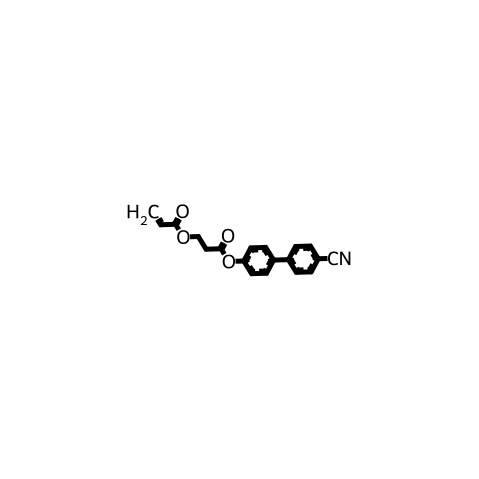 C=CC(=O)OCCC(=O)Oc1ccc(-c2ccc(C#N)cc2)cc1